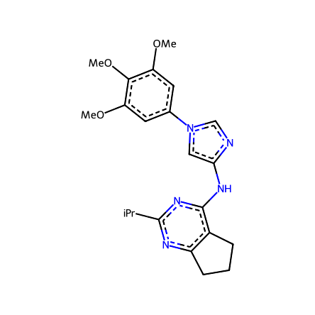 COc1cc(-n2cnc(Nc3nc(C(C)C)nc4c3CCC4)c2)cc(OC)c1OC